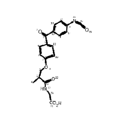 CC(COc1ccc(C(=O)c2ccc(N=C=O)cc2)cc1)C(=O)NCC(=O)O